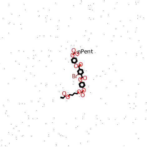 C=CC(=O)OCCCCOC(=O)Oc1ccc(OC(=O)c2ccc(C(=O)Oc3ccc(OC(=O)OCCCCC)cc3)cc2Br)cc1